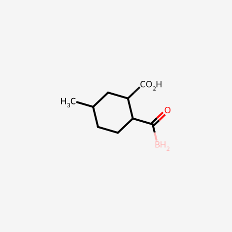 BC(=O)C1CCC(C)CC1C(=O)O